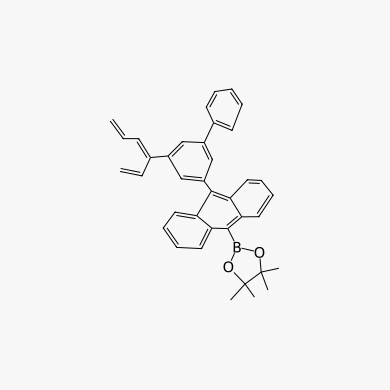 C=C/C=C(\C=C)c1cc(-c2ccccc2)cc(-c2c3ccccc3c(B3OC(C)(C)C(C)(C)O3)c3ccccc23)c1